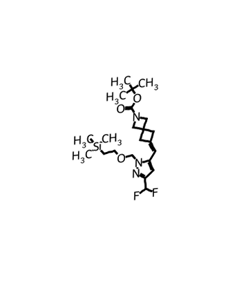 CC(C)(C)OC(=O)N1CC2(CC(=Cc3cc(C(F)F)nn3COCC[Si](C)(C)C)C2)C1